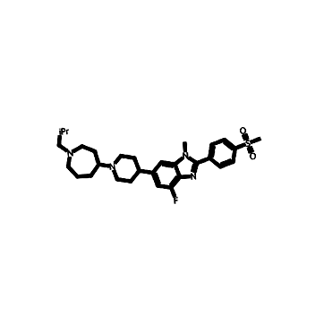 CC(C)CN1CCCC(N2CCC(c3cc(F)c4nc(-c5ccc(S(C)(=O)=O)cc5)n(C)c4c3)CC2)CC1